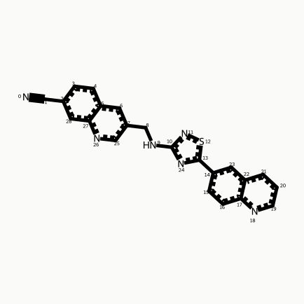 N#Cc1ccc2cc(CNc3nsc(-c4ccc5ncccc5c4)n3)cnc2c1